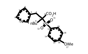 CCCCC(Cc1cccnc1)(C(=O)O)S(=O)(=O)c1ccc(OC)cc1